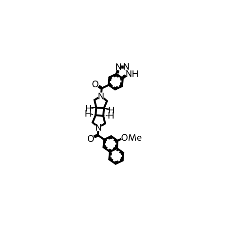 COc1cc(C(=O)N2C[C@@H]3[C@H](C2)[C@H]2CN(C(=O)c4ccc5[nH]nnc5c4)C[C@@H]32)cc2ccccc12